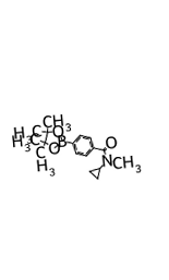 CN(C(=O)c1ccc(B2OC(C)(C)C(C)(C)O2)cc1)C1CC1